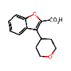 O=C(O)c1oc2ccccc2c1C1CCOCC1